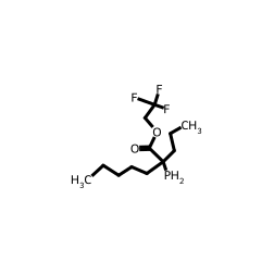 CCCCCC(P)(CCC)C(=O)OCC(F)(F)F